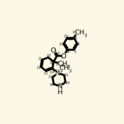 Cc1ccc(OC(=O)C2(C)CC=CC=C2[N+]2(C)CCNCC2)cc1